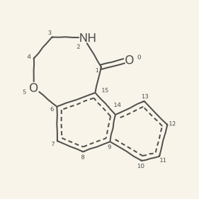 O=C1NCCOc2ccc3ccccc3c21